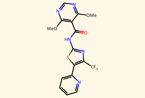 COc1ncnc(OC)c1C(=O)Nc1nc(C(F)(F)F)c(-c2ccccn2)s1